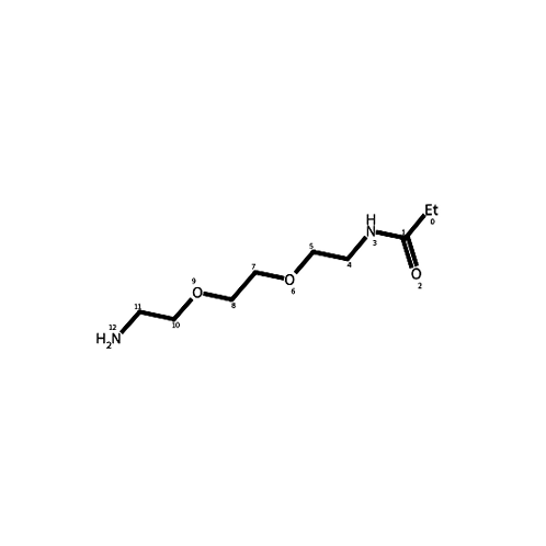 CCC(=O)NCCOCCOCCN